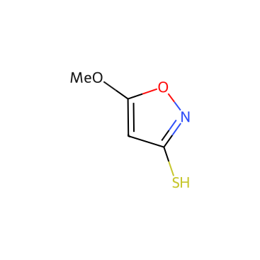 COc1cc(S)no1